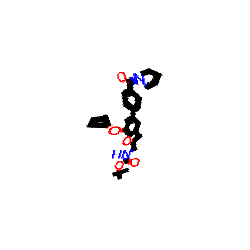 CC(C)(C)OC(=O)NCc1cc2cc(-c3ccc(C(=O)N4CCCCC4)cc3)cc(OC3CCC3)c2o1